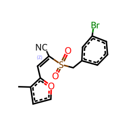 Cc1ccoc1/C=C(/C#N)S(=O)(=O)Cc1cccc(Br)c1